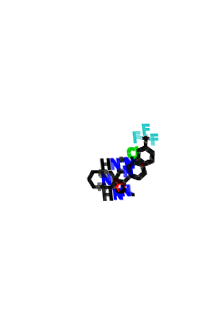 Cn1nc2c(c1-c1cccc(Cl)c1)C[C@@H]1CCC[C@H]2N1C(=O)c1ncn(-c2cccc(C(F)(F)F)c2)n1